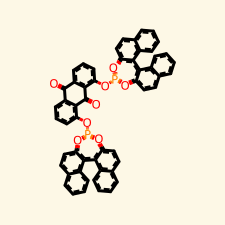 O=C1c2cccc(Op3oc4ccc5ccccc5c4c4c(ccc5ccccc54)o3)c2C(=O)c2c(Op3oc4ccc5ccccc5c4c4c(ccc5ccccc54)o3)cccc21